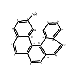 Sc1ccc2ccc3ccc4ccc5ccccc5c4c3c2c1